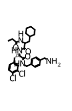 CCC(=O)NC(CC1CCCCC1)C(=O)N[C@@H](Cc1ccc(Cl)c(Cl)c1)C(=O)NCc1ccc(CN)cc1